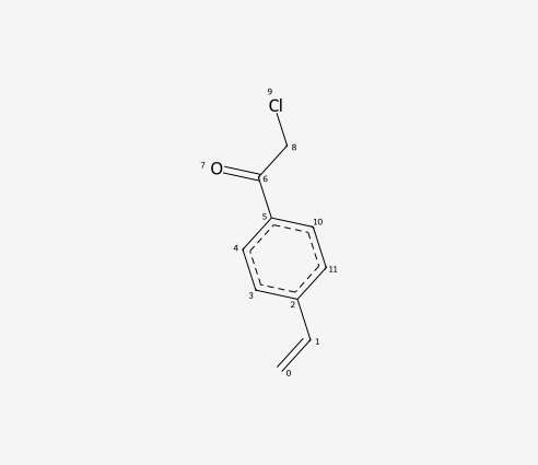 C=Cc1ccc(C(=O)CCl)cc1